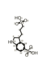 O=S(=O)(O)CCCC1CNc2ccc(S(=O)(=O)O)cc21